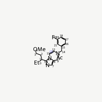 CCC(CCOC)c1ncc(C)n1/C=C\N(Cc1cccc(F)c1)C(C)=O